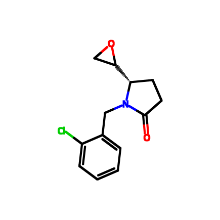 O=C1CC[C@@H](C2CO2)N1Cc1ccccc1Cl